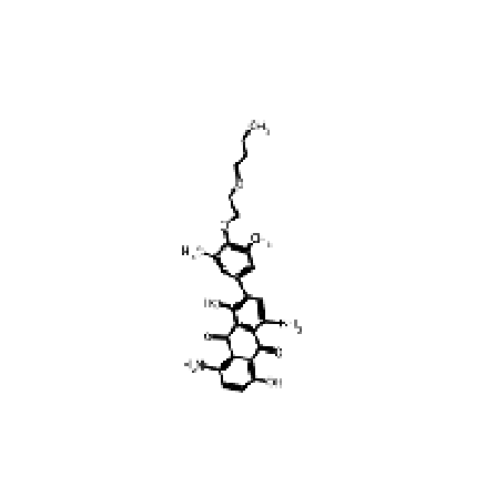 CCCCOCCOc1c(C)cc(-c2cc(N)c3c(c2O)C(=O)c2c(N)ccc(O)c2C3=O)cc1C